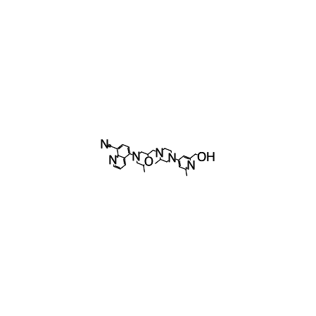 Cc1cc(N2CCN(CC3CN(c4ccc(C#N)c5ncccc45)CC(C)O3)C(C)C2)cc(CO)n1